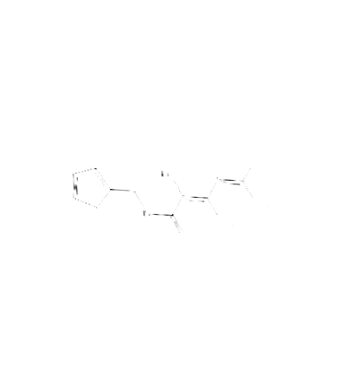 C=C(NCC1=CC=CC1)/C(=C(C)/N=C(\C)CC)C(C)CC